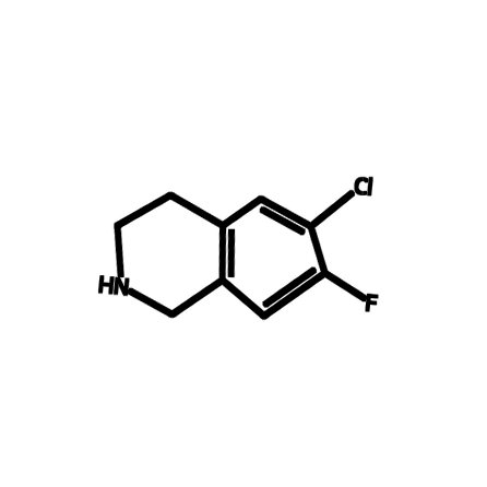 Fc1cc2c(cc1Cl)CCNC2